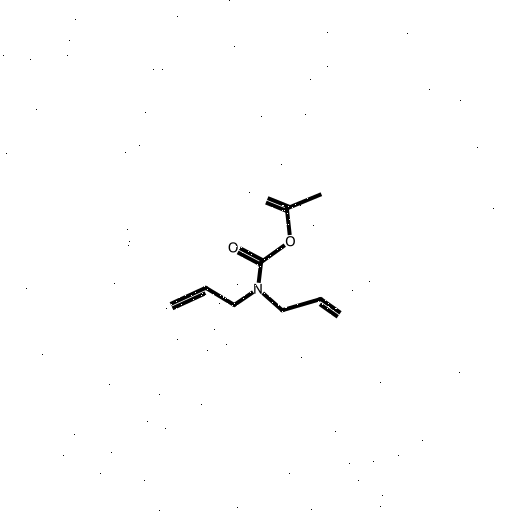 C=CCN(CC=C)C(=O)OC(=C)C